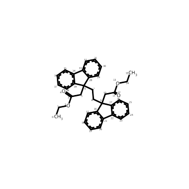 CCOC(=O)CC1(CCC2(CC(=O)OCC)c3ccccc3-c3ccccc32)c2ccccc2-c2ccccc21